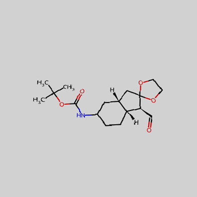 CC(C)(C)OC(=O)NC1CC[C@@H]2[C@H](C1)CC1(OCCO1)[C@H]2C=O